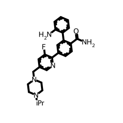 CC(C)N1CCN(Cc2cnc(-c3ccc(C(N)=O)c(-c4ccccc4N)c3)c(F)c2)CC1